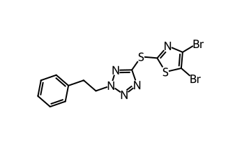 Brc1nc(Sc2nnn(CCc3ccccc3)n2)sc1Br